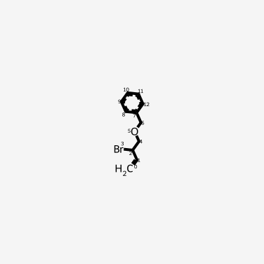 C=CC(Br)COCc1ccccc1